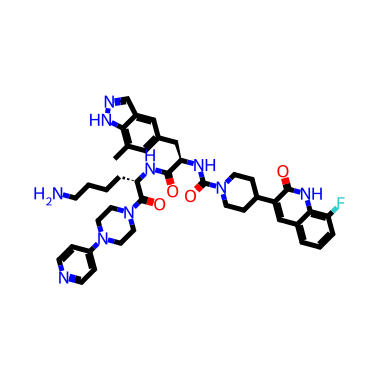 Cc1cc(C[C@@H](NC(=O)N2CCC(c3cc4cccc(F)c4[nH]c3=O)CC2)C(=O)N[C@@H](CCCCN)C(=O)N2CCN(c3ccncc3)CC2)cc2cn[nH]c12